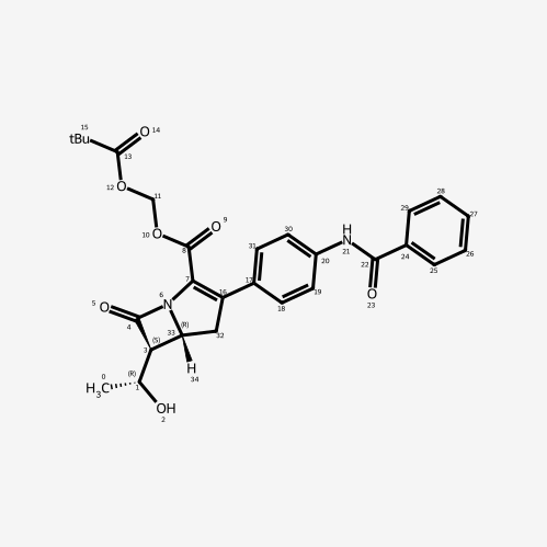 C[C@@H](O)[C@H]1C(=O)N2C(C(=O)OCOC(=O)C(C)(C)C)=C(c3ccc(NC(=O)c4ccccc4)cc3)C[C@H]12